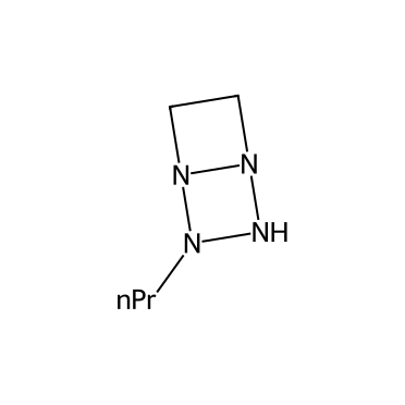 CCCN1NN2CCN12